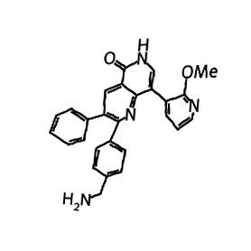 COc1ncccc1-c1c[nH]c(=O)c2cc(-c3ccccc3)c(-c3ccc(CN)cc3)nc12